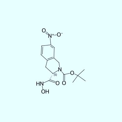 CC(C)(C)OC(=O)N1Cc2cc([N+](=O)[O-])ccc2C[C@H]1C(=O)NO